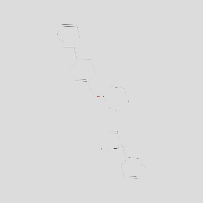 CO[C@](C(=O)O[C@H]1CCC[C@H](Oc2ccc(-c3ccccc3)cc2)C1)(c1ccccc1)C(F)(F)F